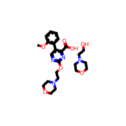 COc1ccccc1-c1cnc(OCCN2CCOCC2)nc1C(=O)O.OCCN1CCOCC1